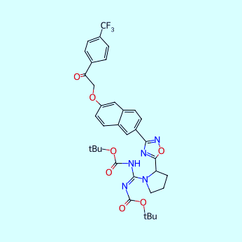 CC(C)(C)OC(=O)N=C(NC(=O)OC(C)(C)C)N1CCCC1c1nc(-c2ccc3cc(OCC(=O)c4ccc(C(F)(F)F)cc4)ccc3c2)no1